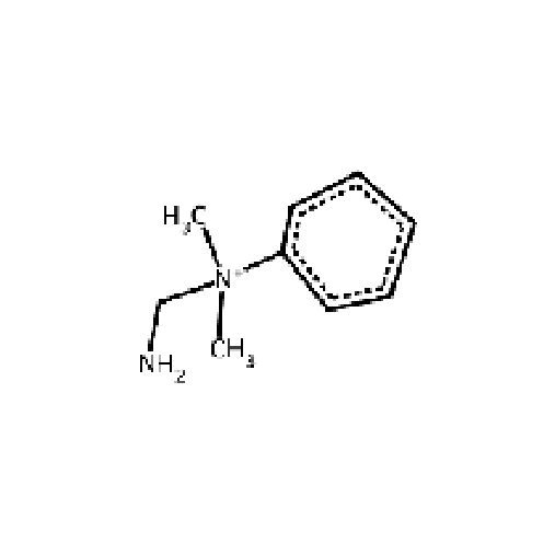 C[N+](C)(CN)c1ccccc1